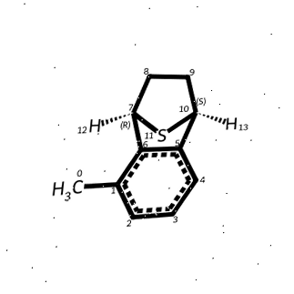 Cc1cccc2c1[C@H]1CC[C@@H]2S1